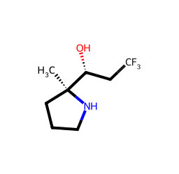 C[C@@]1([C@H](O)CC(F)(F)F)CCCN1